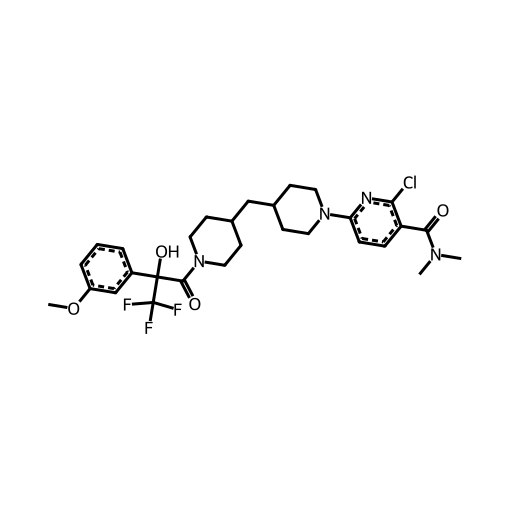 COc1cccc(C(O)(C(=O)N2CCC(CC3CCN(c4ccc(C(=O)N(C)C)c(Cl)n4)CC3)CC2)C(F)(F)F)c1